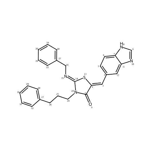 O=C1C(=Cc2ccc3[nH]cnc3c2)SC(=NCc2ccccc2)N1CCCc1ccccc1